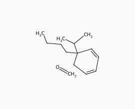 C=O.CCCCC1(C(C)C)C=CC=CC1